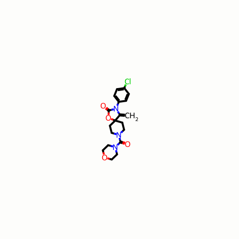 C=C1N(c2ccc(Cl)cc2)C(=O)OC12CCN(C(=O)N1CCOCC1)CC2